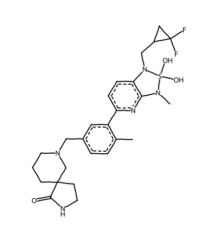 Cc1ccc(CN2CCCC3(CCNC3=O)C2)cc1-c1ccc2c(n1)N(C)S(O)(O)N2CC1CC1(F)F